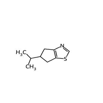 CC(C)C1Cc2ncsc2C1